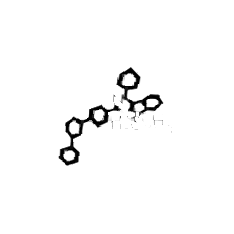 C[Si]1(C)c2ccccc2-c2c(-c3ccccc3)nc(-c3ccc(-c4cccc(-c5ccccc5)c4)cc3)nc21